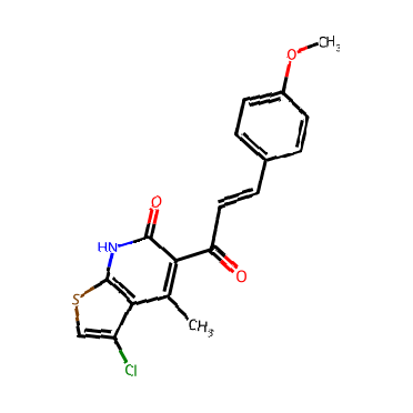 COc1ccc(C=CC(=O)c2c(C)c3c(Cl)csc3[nH]c2=O)cc1